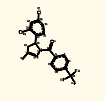 CC1=NN(C(=O)c2ccc(C(F)(F)F)cc2)C(c2ccc(Cl)cc2Cl)C1